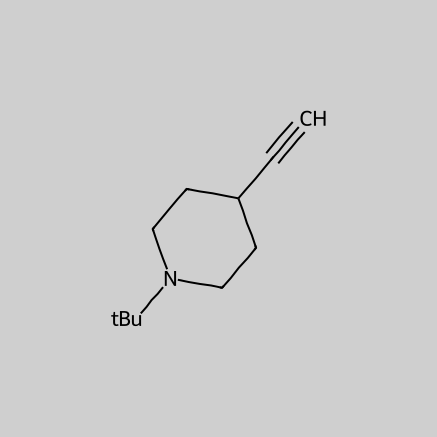 C#CC1CCN(C(C)(C)C)CC1